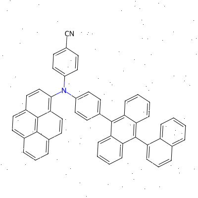 N#Cc1ccc(N(c2ccc(-c3c4ccccc4c(-c4cccc5ccccc45)c4ccccc34)cc2)c2ccc3ccc4cccc5ccc2c3c45)cc1